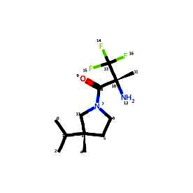 CC(C)[C@@]1(C)CCN(C(=O)[C@@](C)(N)C(F)(F)F)C1